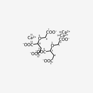 O=C([O-])COC(CC(=O)[O-])C(=O)[O-].O=C([O-])COC(CC(=O)[O-])C(=O)[O-].[Ca+2].[Ca+2].[Ca+2]